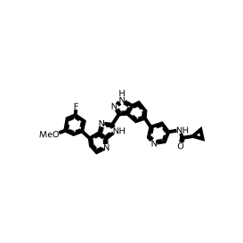 COc1cc(F)cc(-c2ccnc3[nH]c(-c4n[nH]c5ccc(-c6cncc(NC(=O)C7CC7)c6)cc45)nc23)c1